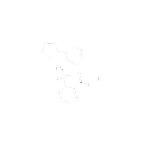 COC(=O)c1ccccc1S(=O)(=O)Nc1ccccc1-n1cccc1